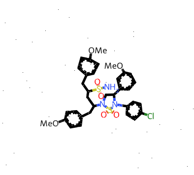 COc1ccc(CC(CC(Cc2ccc(OC)cc2)S(N)(=O)=O)N2CC(c3cccc(OC)c3)N(c3ccc(Cl)cc3)S2(=O)=O)cc1